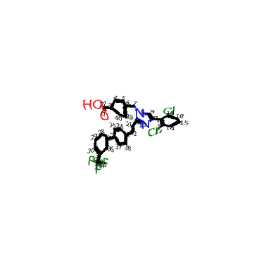 O=C(O)c1ccc(Cn2cc(-c3c(Cl)cccc3Cl)nc2/C=C/c2ccc(-c3cccc(C(F)(F)F)c3)cc2)cc1